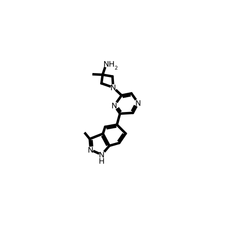 Cc1n[nH]c2ccc(-c3cncc(N4CC(C)(N)C4)n3)cc12